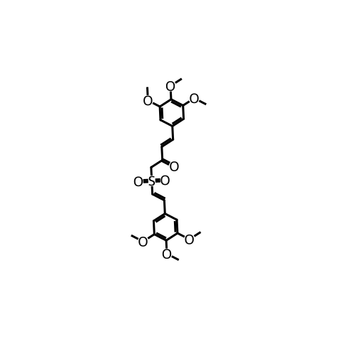 COc1cc(C=CC(=O)CS(=O)(=O)C=Cc2cc(OC)c(OC)c(OC)c2)cc(OC)c1OC